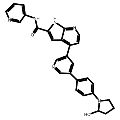 O=C(Nc1cccnc1)c1cc2c(-c3cncc(-c4ccc(N5CCCC5O)cc4)c3)ccnc2[nH]1